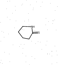 S=C1CCCCN1